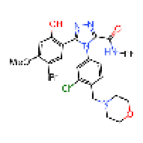 CCNC(=O)c1nnc(-c2cc(C(C)C)c(OC)cc2O)n1-c1ccc(CN2CCOCC2)c(Cl)c1